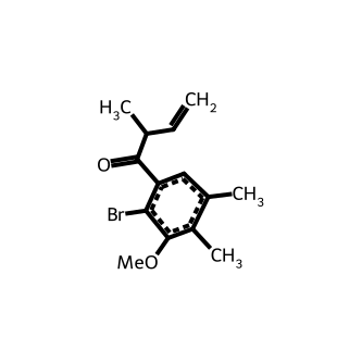 C=CC(C)C(=O)c1cc(C)c(C)c(OC)c1Br